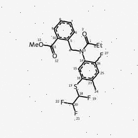 CCC(=O)N(Cc1ccccc1C(=O)OC)c1cc(SC(F)C(F)F)c(C)cc1F